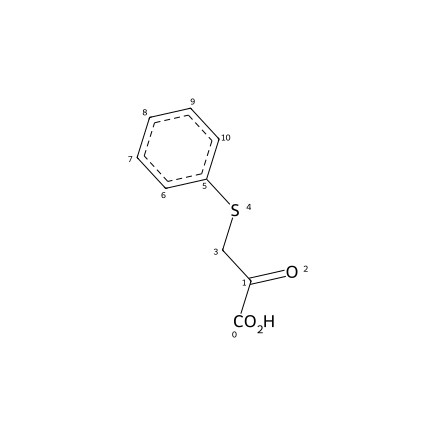 O=C(O)C(=O)CSc1ccccc1